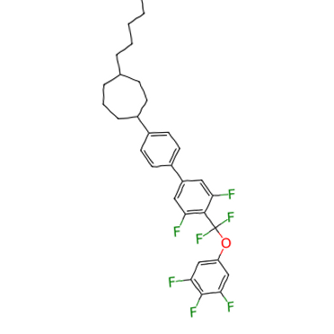 CCCCCC1CCCC(c2ccc(-c3cc(F)c(C(F)(F)Oc4cc(F)c(F)c(F)c4)c(F)c3)cc2)CC1